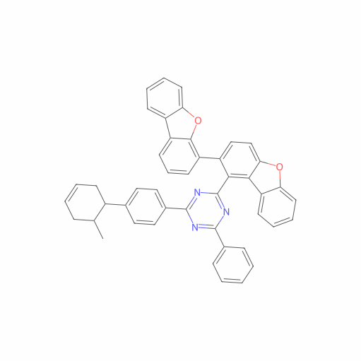 CC1CC=CCC1c1ccc(-c2nc(-c3ccccc3)nc(-c3c(-c4cccc5c4oc4ccccc45)ccc4oc5ccccc5c34)n2)cc1